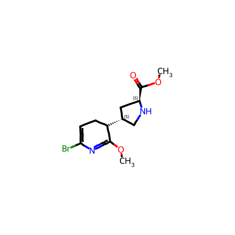 COC(=O)[C@@H]1C[C@@H](C2CC=C(Br)N=C2OC)CN1